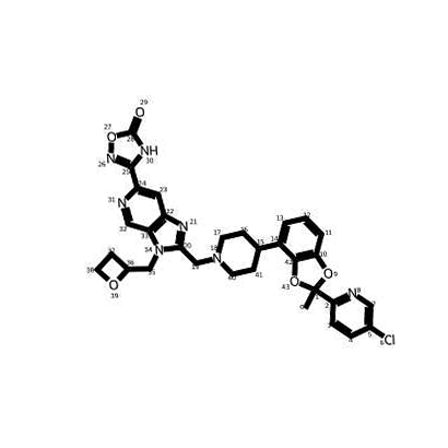 CC1(c2ccc(Cl)cn2)Oc2cccc(C3CCN(Cc4nc5cc(-c6noc(=O)[nH]6)ncc5n4CC4CCO4)CC3)c2O1